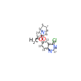 C=CC(=O)N1C2CCC1CC(Oc1ccc3ncnc(Cl)c3c1)C2